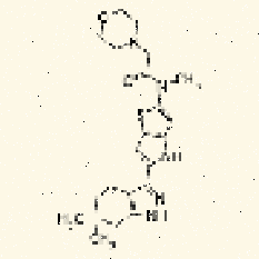 CN(C(=O)CN1CCOCC1)c1cc2[nH]c(-c3n[nH]c4c3CCC(C)(C)C4)cc2s1